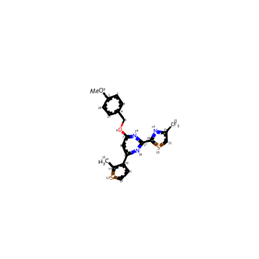 COc1ccc(COc2cc(-c3ccsc3C)nc(-c3nc(C(F)(F)F)cs3)n2)cc1